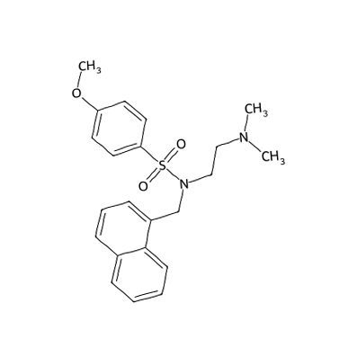 COc1ccc(S(=O)(=O)N(CCN(C)C)Cc2cccc3ccccc23)cc1